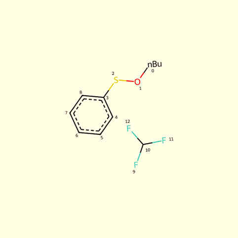 CCCCOSc1ccccc1.FC(F)F